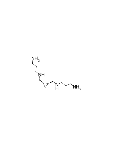 NCCCNC[C@@H]1C[C@@H]1CNCCCN